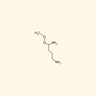 COOC(N)CCCN